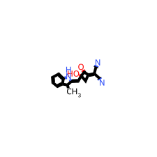 CC1C(=CC2(O)CC(=C(C#N)C#N)C2=O)Nc2ccccc21